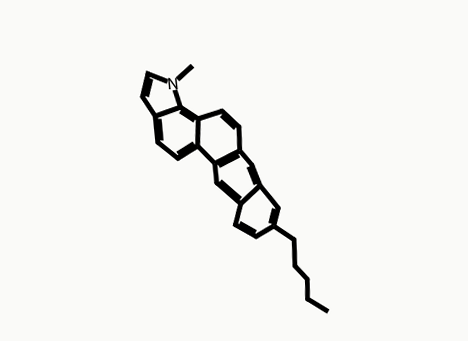 CCCCCc1ccc2cc3c(ccc4c3ccc3ccn(C)c34)cc2c1